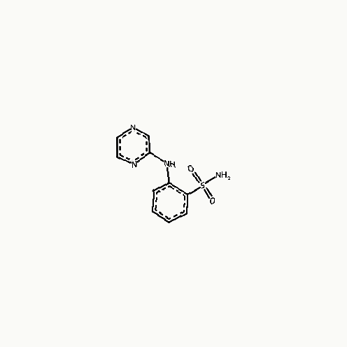 NS(=O)(=O)c1ccccc1Nc1cnccn1